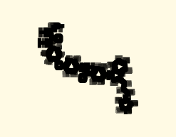 CC(C)NC(=O)Nc1ccc(Oc2ccc(NC(=O)c3ccc(-n4cc(CCCN5CCCC5)c5ccccc54)cc3)cc2)cc1